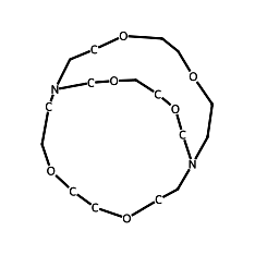 C1COCCN2CCOCCOCCN(CCO1)COCCOC2